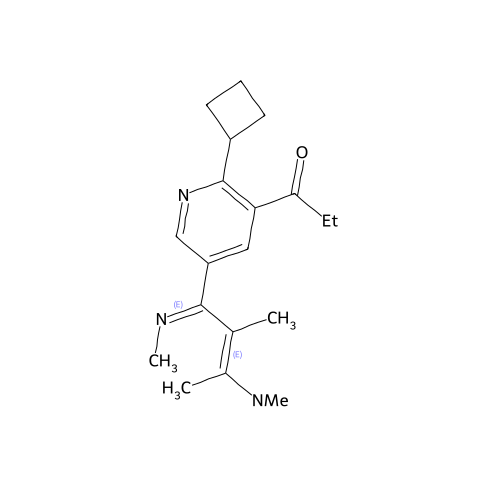 CCC(=O)c1cc(C(=N/C)/C(C)=C(\C)NC)cnc1C1CCC1